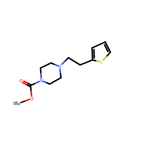 CC(C)(C)OC(=O)N1CCN(CCc2cccs2)CC1